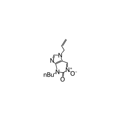 C=CCn1cnc2c1c[n+]([O-])c(=O)n2CCCC